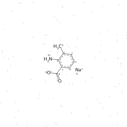 Cc1cccc(C(=O)[O-])c1N.[Na+]